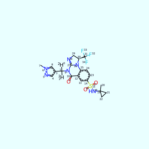 [2H]C([2H])(c1cnn(C)c1)N1C(=O)c2cc(S(=O)(=O)NC3(C)CC3)ccc2N2C1=NC[C@H]2C(F)(F)F